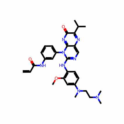 C=CC(=O)Nc1cccc(-n2c(Nc3ccc(N(C)CCN(C)C)cc3OC)ncc3nc(C(C)C)c(=O)nc2-3)c1